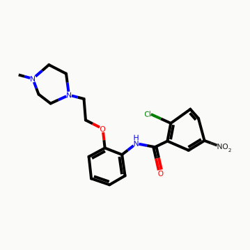 CN1CCN(CCOc2ccccc2NC(=O)c2cc([N+](=O)[O-])ccc2Cl)CC1